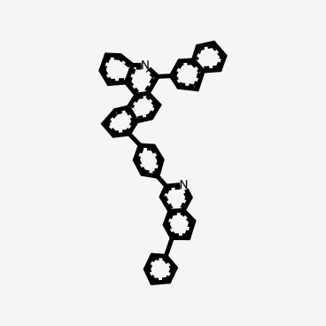 c1ccc(-c2ccc3cnc(-c4ccc(-c5cccc6c5ccc5c(-c7ccc8ccccc8c7)nc7ccccc7c56)cc4)cc3c2)cc1